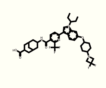 CCC(CC)n1cc(-c2ccc(C(=O)NC3CC4CC(C3)CC(C(=O)O)C4)c(C(F)(F)F)n2)c2ccc(OC3CCC(N4CC(F)(F)C4)CC3)cc21